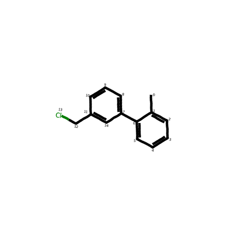 Cc1ccccc1-c1cccc(CCl)c1